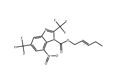 CC/C=C/COC(=O)n1c(C(F)(F)F)nc2cc(C(F)(F)F)cc([N+](=O)[O-])c21